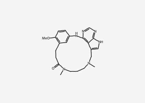 COc1ccc2cc1CCC(=O)N(C)CCCN(C)Cc1c[nH]c3ncnc(c13)N2